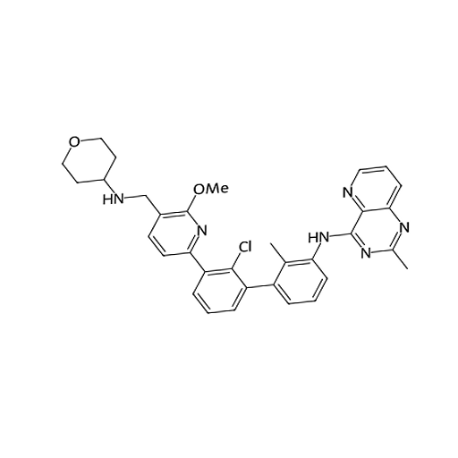 COc1nc(-c2cccc(-c3cccc(Nc4nc(C)nc5cccnc45)c3C)c2Cl)ccc1CNC1CCOCC1